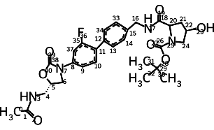 CC(=O)NC[C@H]1CN(c2ccc(-c3ccc(CNC(=O)C4C[C@@H](O)CN4C(=O)OC(C)(C)C)cc3)c(F)c2)C(=O)O1